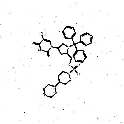 Cc1cn(C2CN(C(c3ccccc3)(c3ccccc3)c3ccccc3)C(COP(=O)(Cl)N3CCC(N4CCOCC4)CC3)O2)c(=O)[nH]c1=O